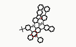 CC(C)(C)c1ccc(N2c3cc(N(c4ccccc4)c4ccccc4)cc4c3B(c3c2ccc2c3oc3cc5ccccc5cc32)N(c2ccc(-c3ccccc3)cc2)c2cc3ccccc3cc2-4)c(-c2ccccc2)c1